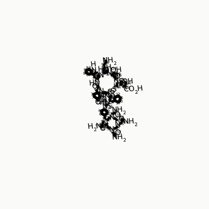 C[C@@H](O)[C@H](NC(=O)[C@@H]1CSSC[C@H](NC(=O)[C@@H](Cc2ccccc2)NC(=S)Nc2ccc(C[C@H]3CN(CC(N)=O)CCN(CC(N)=O)CCN(CC(N)=O)CCN3CC(N)=O)cc2)C(=O)N[C@@H](Cc2ccc(O)cc2)C(=O)N[C@H](Cc2c[nH]c3ccccc23)C(=O)N[C@@H](CCCCN)C(=O)N[C@@H]([C@@H](C)O)C(=O)N1)C(=O)O